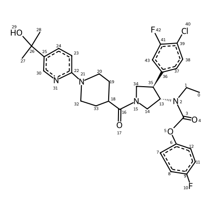 CCN(C(=O)Oc1ccc(F)cc1)[C@@H]1CN(C(=O)C2CCN(c3ccc(C(C)(C)O)cn3)CC2)C[C@H]1c1ccc(Cl)c(F)c1